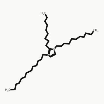 CCCCCCCCCCCCC[n+]1ccn(CCCCCCCCCCC)c1CCCCCCCCC